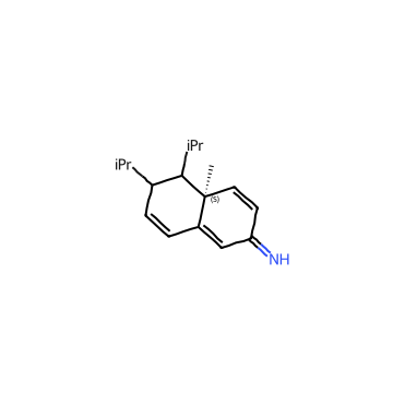 CC(C)C1C=CC2=CC(=N)C=C[C@]2(C)C1C(C)C